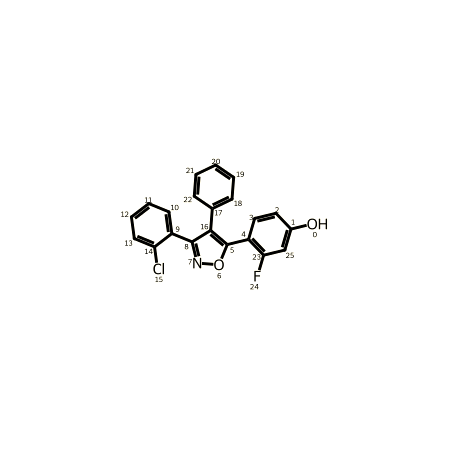 Oc1ccc(-c2onc(-c3ccccc3Cl)c2-c2ccccc2)c(F)c1